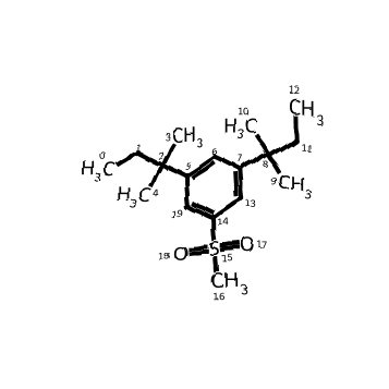 CCC(C)(C)c1cc(C(C)(C)CC)cc(S(C)(=O)=O)c1